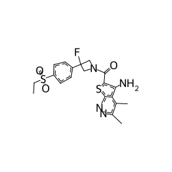 CCS(=O)(=O)c1ccc(C2(F)CN(C(=O)c3sc4nnc(C)c(C)c4c3N)C2)cc1